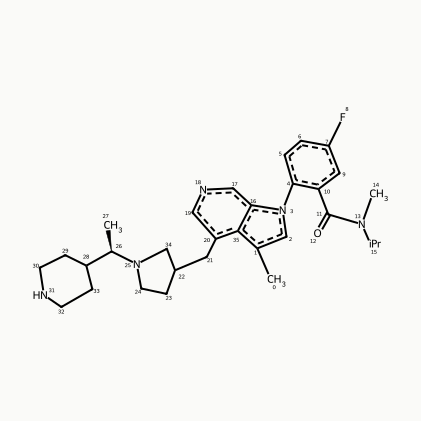 Cc1cn(-c2ccc(F)cc2C(=O)N(C)C(C)C)c2cncc(CC3CCN([C@H](C)C4CCNCC4)C3)c12